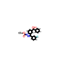 CC(C)(C)OC(=O)n1nc(-c2cccc(F)c2)c2cc(C(O)c3ccccc3)ccc21